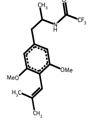 COc1cc(CC(C)NC(=O)C(F)(F)F)cc(OC)c1C=C(C)C